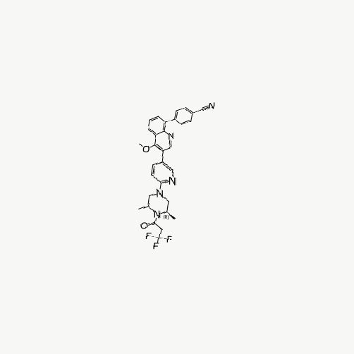 COc1c(-c2ccc(N3CC(C)N(C(=O)CC(F)(F)F)[C@H](C)C3)nc2)cnc2c(-c3ccc(C#N)cc3)cccc12